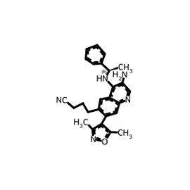 Cc1noc(C)c1-c1cc2ncc(N)c(N[C@H](C)c3ccccc3)c2cc1CCCC#N